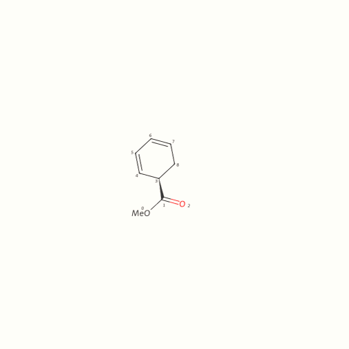 COC(=O)[C@H]1C=CC=CC1